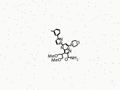 COCC(COC)c1c(C(N)=O)nn2c(N3CCOCC3)cc(-n3ccc(-c4cccc(C)c4)n3)nc12